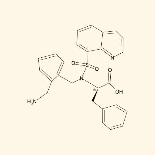 NCc1ccccc1CN([C@H](Cc1ccccc1)C(=O)O)S(=O)(=O)c1cccc2cccnc12